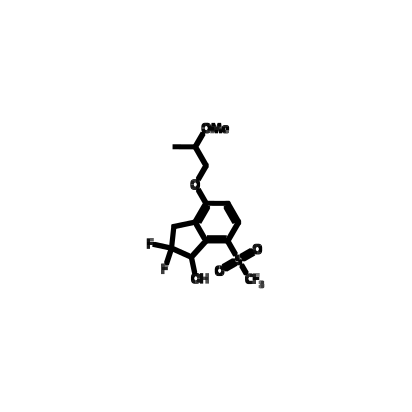 COC(C)COc1ccc(S(=O)(=O)C(F)(F)F)c2c1CC(F)(F)C2O